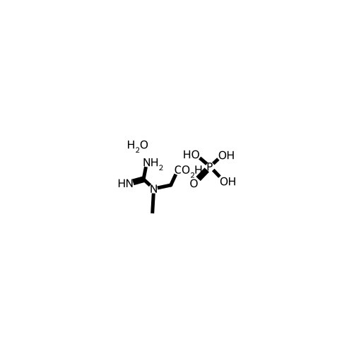 CN(CC(=O)O)C(=N)N.O.O=P(O)(O)O